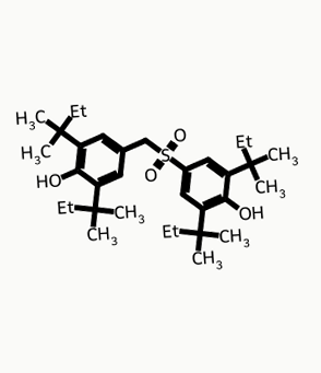 CCC(C)(C)c1cc(CS(=O)(=O)c2cc(C(C)(C)CC)c(O)c(C(C)(C)CC)c2)cc(C(C)(C)CC)c1O